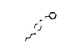 CC(=O)CC(O)C(=O)N1CCN(C(=O)OCc2ccccc2)CC1